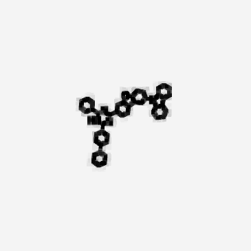 c1ccc(-c2ccc(C3=NC(c4ccc5c(c4)oc4ccc(-n6c7ccccc7c7ccccc76)cc45)=NC(c4ccccc4)N3)cc2)cc1